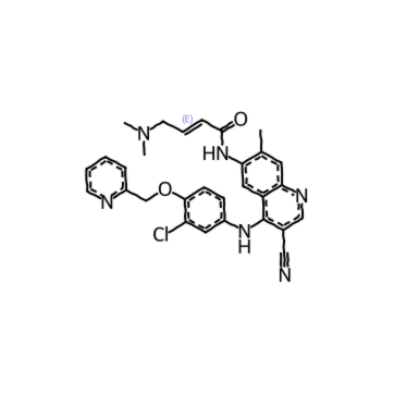 Cc1cc2ncc(C#N)c(Nc3ccc(OCc4ccccn4)c(Cl)c3)c2cc1NC(=O)/C=C/CN(C)C